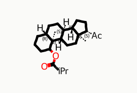 CC(=O)[C@H]1CC[C@H]2[C@@H]3CC[C@H]4CCCC(OC(=O)C(C)C)[C@]4(C)[C@H]3CC[C@]12C